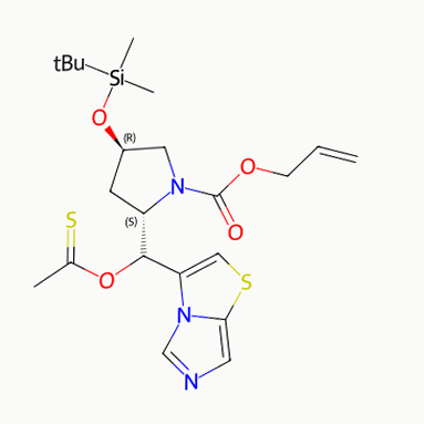 C=CCOC(=O)N1C[C@H](O[Si](C)(C)C(C)(C)C)C[C@H]1C(OC(C)=S)c1csc2cncn12